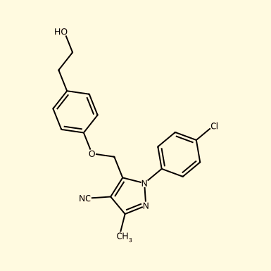 Cc1nn(-c2ccc(Cl)cc2)c(COc2ccc(CCO)cc2)c1C#N